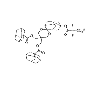 O=C(OCC1(COC(=O)C23CC4CC(CC(C4)C2)C3)COC2(OC1)C1CC3CC2CC(OC(=O)C(F)(F)S(=O)(=O)O)(C3)C1)C12CC3CC(CC(C3)C1)C2